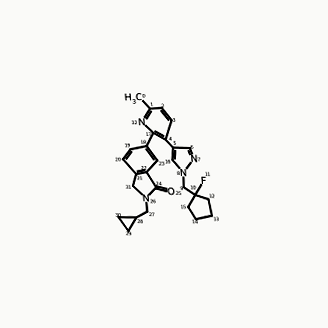 Cc1ccc(-c2cnn(CC3(F)CCCC3)c2)c(-c2ccc3c(c2)C(=O)N(CC2CC2)C3)n1